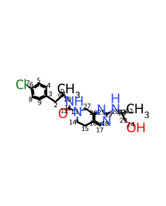 C[C@H](Cc1ccc(Cl)cc1)NC(=O)N1CCc2cnc(N[C@@H](C)CO)nc2C1